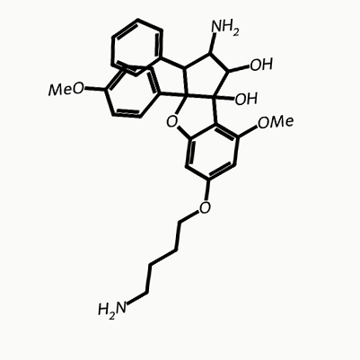 COc1ccc(C23Oc4cc(OCCCCN)cc(OC)c4C2(O)C(O)C(N)C3c2ccccc2)cc1